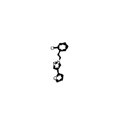 Clc1ccccc1CCn1cc(-c2ccco2)cn1